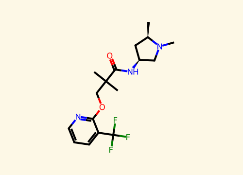 C[C@@H]1C[C@H](NC(=O)C(C)(C)COc2ncccc2C(F)(F)F)CN1C